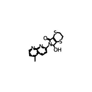 Cc1ccnc2nc(N3C(=O)C4=C(SCCS4)C3O)ccc12